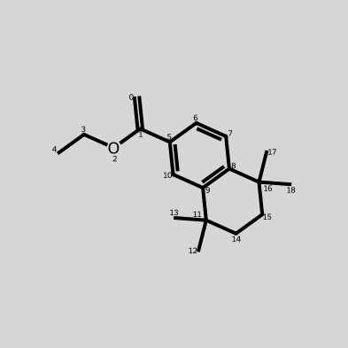 C=C(OCC)c1ccc2c(c1)C(C)(C)CCC2(C)C